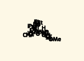 CCOC(CN(C(=O)C(Cc1ccc(Cl)cc1)NC(=O)CCNS(=O)(=O)c1ccc(OC)cc1)C(C)C)OCC